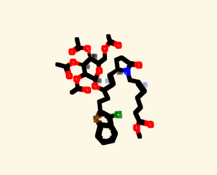 COC(=O)CCC/C=C\CN1C(=O)CC[C@@H]1/C=C/C(CCc1sc2ccccc2c1Cl)O[C@@H]1OC(COC(C)=O)[C@@H](OC(C)=O)[C@H](OC(C)=O)C1OC(C)=O